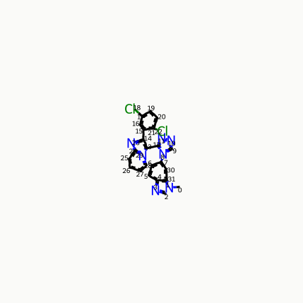 Cn1cnc2ccc(-n3cnnc3-c3c(-c4cc(Cl)ccc4Cl)nc4ccccn34)cc21